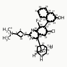 CN(C)C1CN(c2nc(N3C[C@H]4CC[C@@H](C3)NC4)c3cc(Cl)c(-c4cc(O)cc5ccccc45)c(F)c3n2)C1